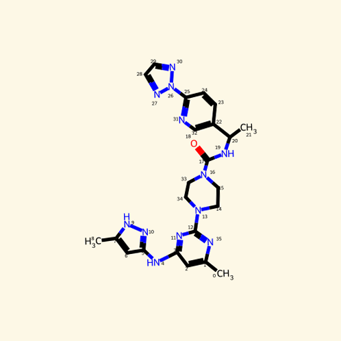 Cc1cc(Nc2cc(C)[nH]n2)nc(N2CCN(C(=O)NC(C)c3ccc(-n4nccn4)nc3)CC2)n1